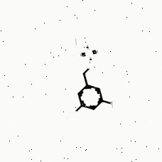 CS(=O)(=O)NCc1cc(F)cc(Br)c1